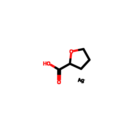 O=C(O)C1CCCO1.[Ag]